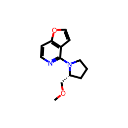 COC[C@H]1CCCN1c1nccc2occc12